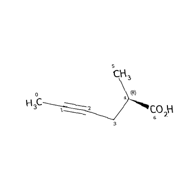 CC#CC[C@@H](C)C(=O)O